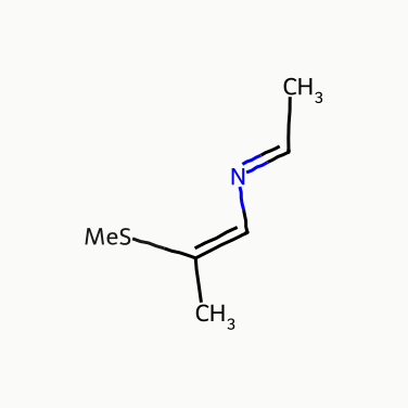 C/C=N/C=C(/C)SC